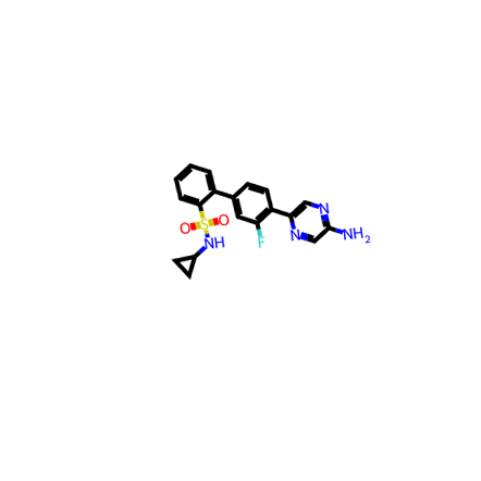 Nc1cnc(-c2ccc(-c3ccccc3S(=O)(=O)NC3CC3)cc2F)cn1